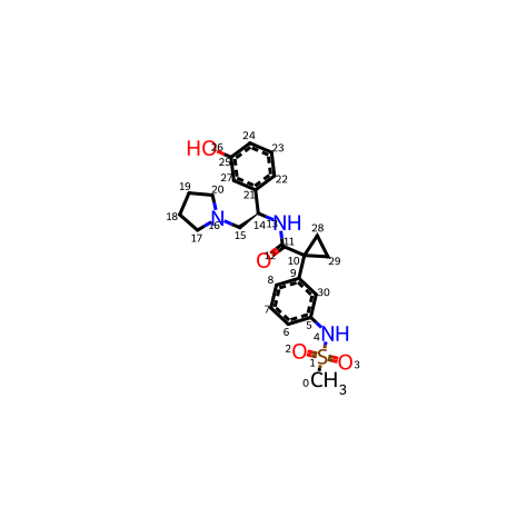 CS(=O)(=O)Nc1cccc(C2(C(=O)N[C@@H](CN3CCCC3)c3cccc(O)c3)CC2)c1